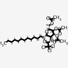 CCCCCCCCCCCCS[C@@H]1O[C@H](COC(C)=O)[C@@H](OC(C)=O)[C@H](OC(C)=O)[C@H]1NC(=O)C(Cl)(Cl)Cl